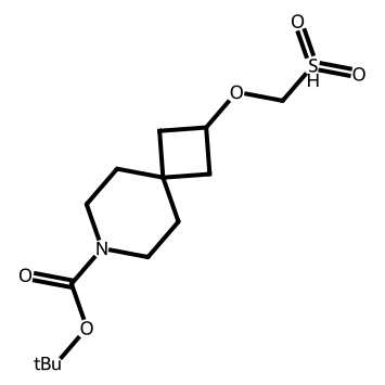 CC(C)(C)OC(=O)N1CCC2(CC1)CC(OC[SH](=O)=O)C2